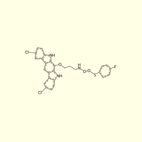 Fc1ccc(SOONCCCOc2c3[nH]c4ccc(Cl)cc4c3cc3c2[nH]c2ccc(Cl)cc23)cc1